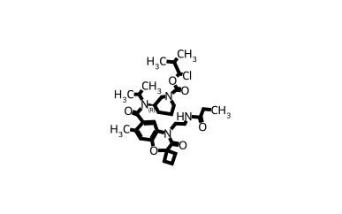 CCC(=O)NCCN1C(=O)C2(CCC2)Oc2cc(C)c(C(=O)N(C(C)C)[C@@H]3CCCN(C(=O)OC(Cl)C(C)C)C3)cc21